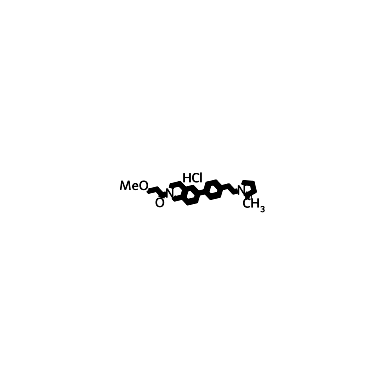 COCCC(=O)N1CCc2cc(-c3ccc(CCN4CCC[C@H]4C)cc3)ccc2C1.Cl